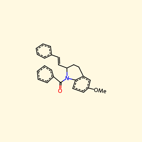 COc1ccc2c(c1)CCC(C=Cc1ccccc1)N2C(=O)c1ccccc1